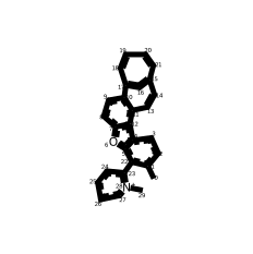 Cc1ccc2c(oc3ccc4c(c32)C=CC2=C=C4C=CC=C2)c1-c1cccc[n+]1C